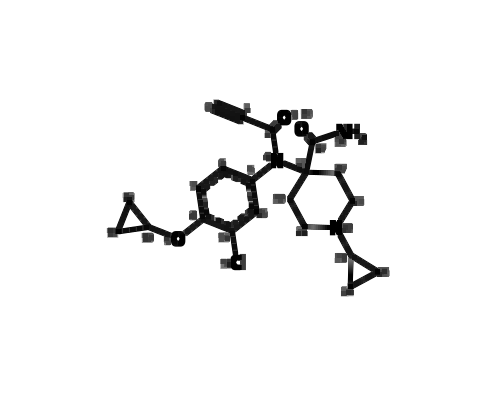 C#CC(=O)N(c1ccc(OC2CC2)c(Cl)c1)C1(C(N)=O)CCN(C2CC2)CC1